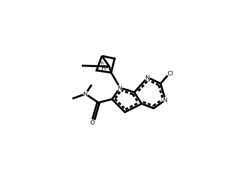 C[C@@H]1C2CC1(n1c(C(=O)N(C)C)cc3cnc(Cl)nc31)C2